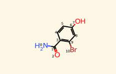 NC(=O)c1ccc(O)cc1Br